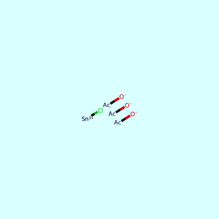 CC(=O)[O-].CC(=O)[O-].CC(=O)[O-].[Cl][Sn+3]